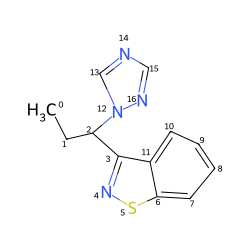 CCC(c1nsc2ccccc12)n1cncn1